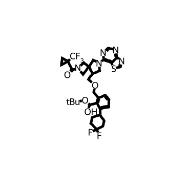 CC(C)(C)OC(O)c1c(COCC2CN(c3ncnc4ncsc34)CC23CN(C(=O)C2(C(F)(F)F)CC2)C3)cccc1C1CCC(F)(F)CC1